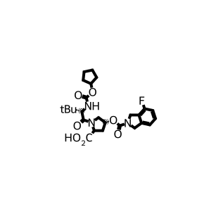 CC(C)(C)[C@H](NC(=O)OC1CCCC1)C(=O)N1C[C@H](OC(=O)N2Cc3cccc(F)c3C2)CC1C(=O)O